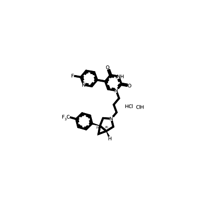 Cl.Cl.O=c1[nH]c(=O)n(CCCN2C[C@@H]3C[C@]3(c3ccc(C(F)(F)F)cc3)C2)cc1-c1ccc(F)nc1